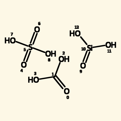 O=C(O)O.O=S(=O)(O)O.O=[Si](O)O